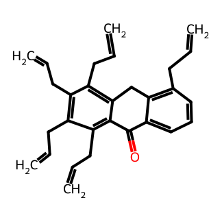 C=CCc1cccc2c1Cc1c(CC=C)c(CC=C)c(CC=C)c(CC=C)c1C2=O